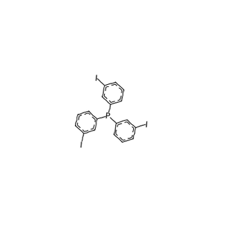 Ic1cccc(P(c2cccc(I)c2)c2cccc(I)c2)c1